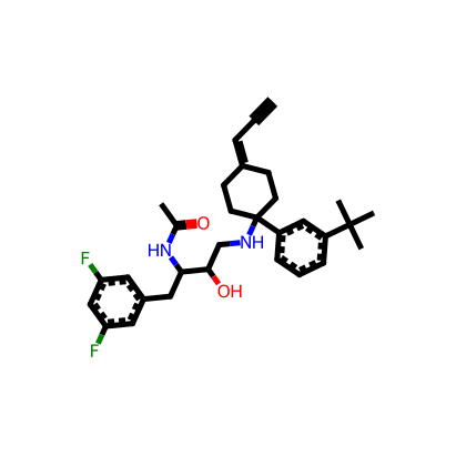 C#CC=C1CCC(NCC(O)C(Cc2cc(F)cc(F)c2)NC(C)=O)(c2cccc(C(C)(C)C)c2)CC1